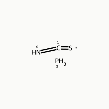 N=C=S.P